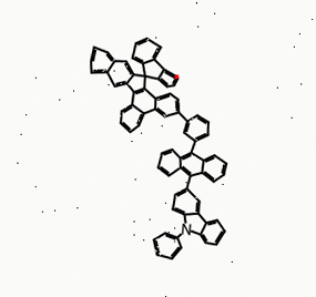 c1ccc(-n2c3ccccc3c3cc(-c4c5ccccc5c(-c5cccc(-c6ccc7c8c(c9ccccc9c7c6)-c6cc7ccccc7cc6C86c7ccccc7-c7ccccc76)c5)c5ccccc45)ccc32)cc1